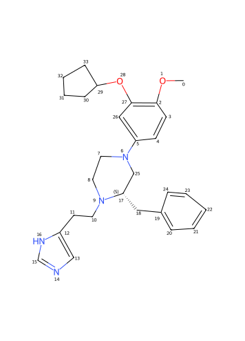 COc1ccc(N2CCN(CCc3cnc[nH]3)[C@@H](Cc3ccccc3)C2)cc1OC1CCCC1